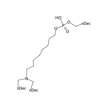 CCCCCCCCCCCOP(=O)(O)OCCCCCCCCN(CCCCCCCCCCC)CCCCCCCCCCC